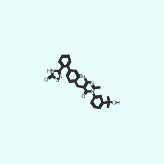 CCCCc1nc(C)n(-c2cccc(C(C)(C)O)c2)c(=O)c1Cc1ccc(-c2ccccc2-c2noc(=O)[nH]2)cc1